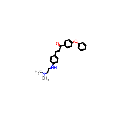 CN(C)CCNc1ccc(C=CC(=O)c2ccc(Oc3ccccc3)cc2)cc1